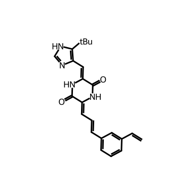 C=Cc1cccc(/C=C/C=c2\[nH]c(=O)/c(=C/c3nc[nH]c3C(C)(C)C)[nH]c2=O)c1